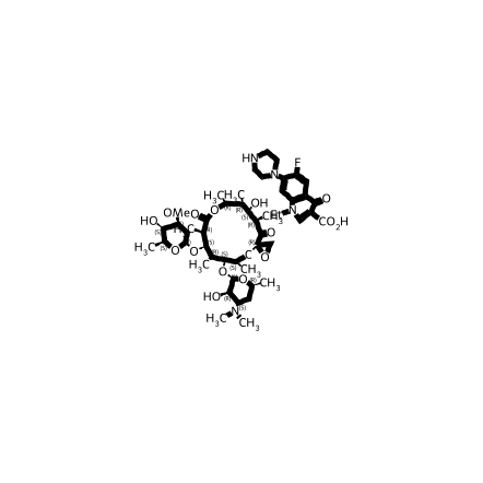 CCn1cc(C(=O)O)c(=O)c2cc(F)c(N3CCNCC3)cc21.CO[C@H]1C[C@H](O[C@H]2[C@H](C)[C@@H](O[C@@H]3O[C@H](C)C[C@H](N(C)C)[C@H]3O)[C@@H](C)C[C@@]3(CO3)C(=O)[C@H](C)[C@@H](O)[C@@H](C)[C@@H](C)OC(=O)[C@@H]2C)O[C@@H](C)[C@@H]1O